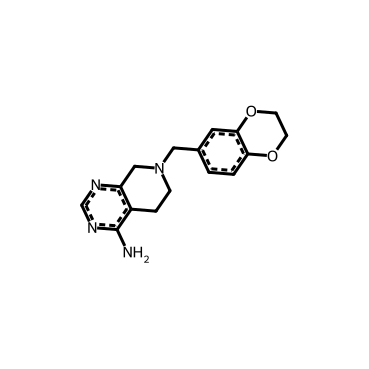 Nc1ncnc2c1CCN(Cc1ccc3c(c1)OCCO3)C2